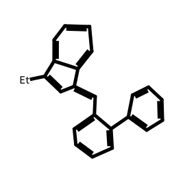 [CH2]CC1=CC(=Cc2ccccc2-c2ccccc2)c2ccccc21